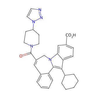 O=C(O)c1ccc2c(C3CCCCC3)c3n(c2c1)CC(C(=O)N1CCC(n2ccnn2)CC1)=Cc1ccccc1-3